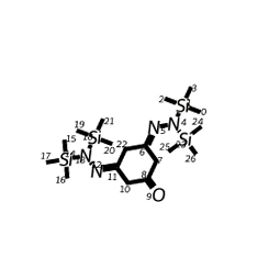 C[Si](C)(C)N(N=C1CC(=O)CC(=NN([Si](C)(C)C)[Si](C)(C)C)C1)[Si](C)(C)C